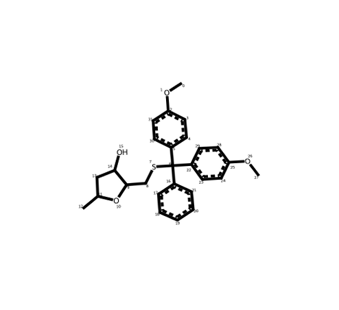 COc1ccc(C(SCC2OC(C)CC2O)(c2ccccc2)c2ccc(OC)cc2)cc1